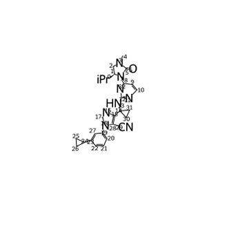 CC(C)[C@H]1CN(C)C(=O)N1c1ccnc(NC2(c3ncn(-c4cccc(C5CC5)c4)c3C#N)CC2)n1